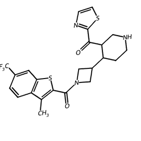 Cc1c(C(=O)N2CC(C3CCNCC3C(=O)c3nccs3)C2)sc2cc(C(F)(F)F)ccc12